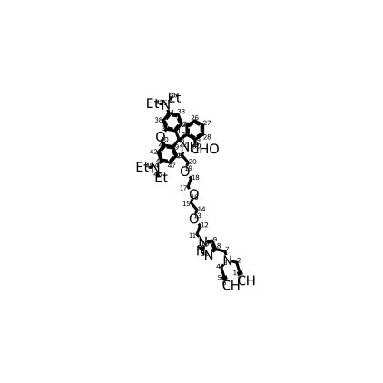 C#CCN(CC#C)Cc1cn(CCOCCOCCOCCNC2(c3ccccc3C=O)c3ccc(N(CC)CC)cc3Oc3cc(N(CC)CC)ccc32)nn1